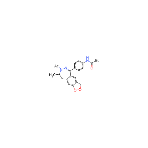 CCC(=O)Nc1ccc(C2=NN(C(C)=O)C(C)Cc3cc4c(cc32)COO4)cc1